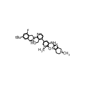 CN1CCc2nc(Nc3cc(-c4ccnc(N5Cc6c(F)cc(C(C)(C)C)cc6C=N5)c4CO)cn(C)c3=O)sc2C1